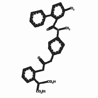 CCOC(=O)C(C(=O)O)c1ccccc1CC(=O)Cc1ccc(N(C)C(=O)c2cc(C(F)(F)F)ccc2-c2ccccc2)cc1